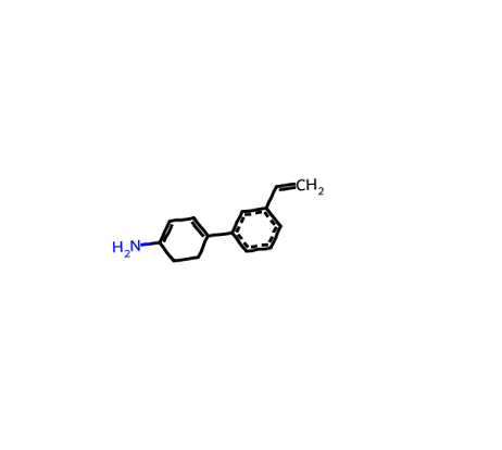 C=Cc1cccc(C2=CC=C(N)CC2)c1